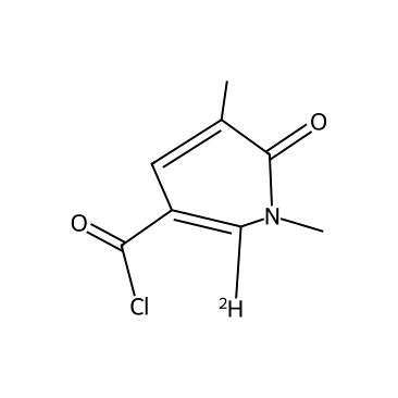 [2H]c1c(C(=O)Cl)cc(C)c(=O)n1C